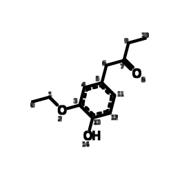 CCOc1cc(CC(=O)CC)ccc1O